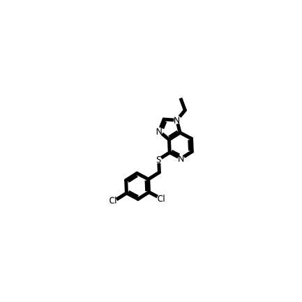 CCn1cnc2c(SCc3ccc(Cl)cc3Cl)nccc21